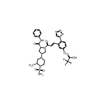 C[C@H]1CN([C@H]2C[C@@H](C(=O)Nc3ccccc3)N(C(=O)/C=C/c3cc(Cl)ccc3-n3cnnn3)C2)CCN1S(N)(=O)=O.O=C(O)C(F)(F)F